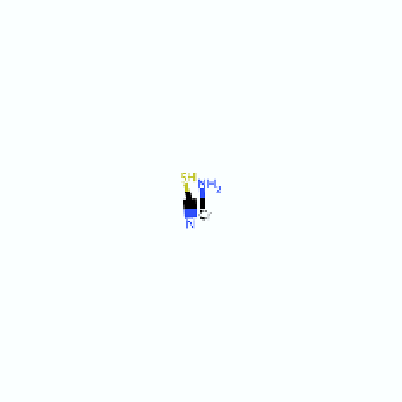 N#CS.[NH2][Cr]